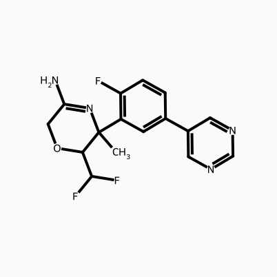 CC1(c2cc(-c3cncnc3)ccc2F)N=C(N)COC1C(F)F